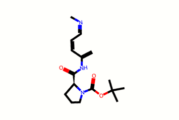 C=C(/C=C\C=N/C)NC(=O)[C@@H]1CCCN1C(=O)OC(C)(C)C